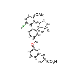 COc1ccc(F)c(-c2ccc(COc3cccc(C[C@@H](C)C(=O)O)c3)cc2C2CCCC2(C)C)c1